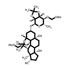 COCO[C@@H]1[C@H]2OC(C)(C)O[C@H]2[C@H](O[C@H]2C[C@H]3OC(C)(C)OC[C@]34C3C(CC[C@]4(O)C2)[C@@]2(O)CC[C@H](C#N)[C@@]2(C)C[C@H]3OCOC)O[C@H]1C